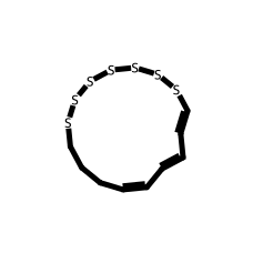 C1=C\CCCSSSSSSS/C=C/C=C/1